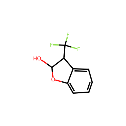 OC1Oc2ccccc2C1C(F)(F)F